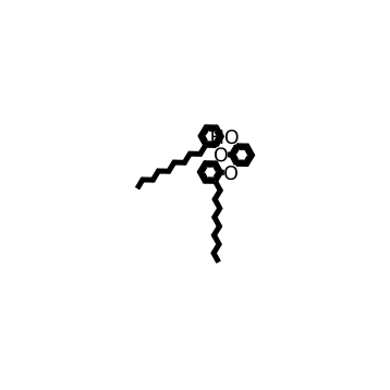 CCCCCCCCCc1ccccc1Oc1cccc(O)c1Oc1ccccc1CCCCCCCCC